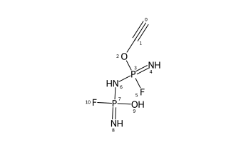 C#COP(=N)(F)NP(=N)(O)F